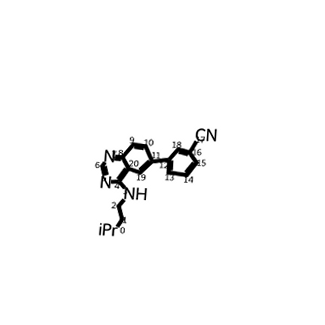 CC(C)CCNc1ncnc2ccc(-c3cccc(C#N)c3)cc12